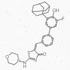 O=C1N=C(NN2CCOCC2)S/C1=C/c1cccc(-c2cc(F)c(O)c(C34CC5CC(CC(C5)C3)C4)c2)c1